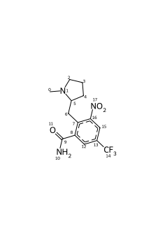 CN1CCCC1Cc1c(C(N)=O)cc(C(F)(F)F)cc1[N+](=O)[O-]